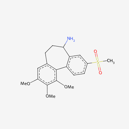 COc1cc2c(c(OC)c1OC)-c1ccc(S(C)(=O)=O)cc1C(N)CC2